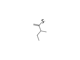 C=C([S])C(C)CC